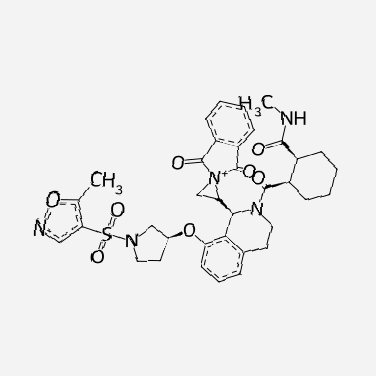 CNC(=O)[C@H]1CCCC[C@H]1C(=O)N1CCc2cccc(O[C@H]3CCN(S(=O)(=O)c4cnoc4C)C3)c2[C@H]1C1C[N+]12C(=O)c1ccccc1C2=O